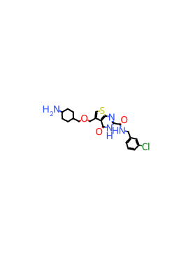 NC1CCC(COCc2csc3nc(C(=O)NCc4cccc(Cl)c4)[nH]c(=O)c23)CC1